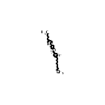 CCCCCCCCCc1ccc(C(=O)Oc2ccc(-c3ncc(CCCCC)cn3)cc2)cc1Br